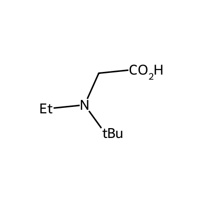 CCN(CC(=O)O)C(C)(C)C